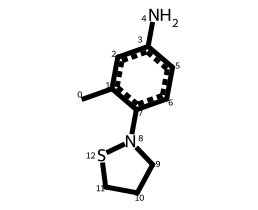 Cc1cc(N)ccc1N1CCCS1